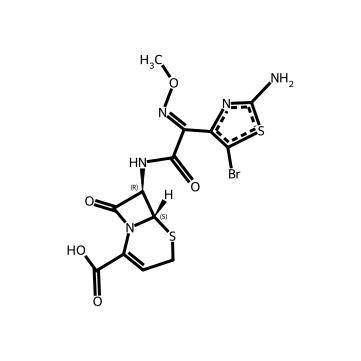 CON=C(C(=O)N[C@@H]1C(=O)N2C(C(=O)O)=CCS[C@@H]12)c1nc(N)sc1Br